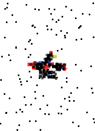 CCN(C(C)C)C(C)C.O=C(S)C[C@@H]1C[C@@H](C(=O)Nc2cc(S(=O)(=O)O)ccc2O)N(C(=O)OCc2ccc([N+](=O)[O-])cc2)C1